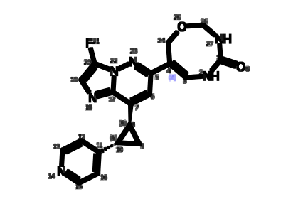 O=C1N/C=C(/c2cc([C@H]3C[C@@H]3c3ccncc3)c3ncc(F)n3n2)COCN1